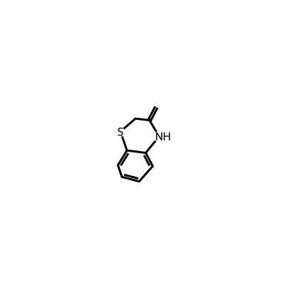 C=C1CSc2ccccc2N1